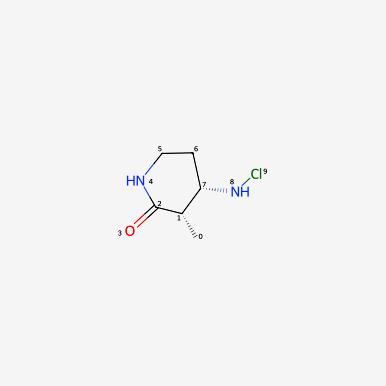 C[C@@H]1C(=O)NCC[C@@H]1NCl